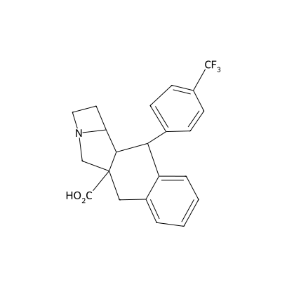 O=C(O)C12Cc3ccccc3C(c3ccc(C(F)(F)F)cc3)C1C1CCN1C2